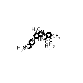 Cc1c(C(C)Nc2nnc(C)c3ccc(N4CCC5(CCN(C)C5)CC4)cc23)cccc1C(F)(F)F